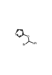 CCCC(Br)Oc1ccsc1